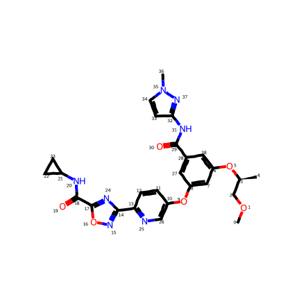 COC[C@H](C)Oc1cc(Oc2ccc(-c3noc(C(=O)NC4CC4)n3)nc2)cc(C(=O)Nc2ccn(C)n2)c1